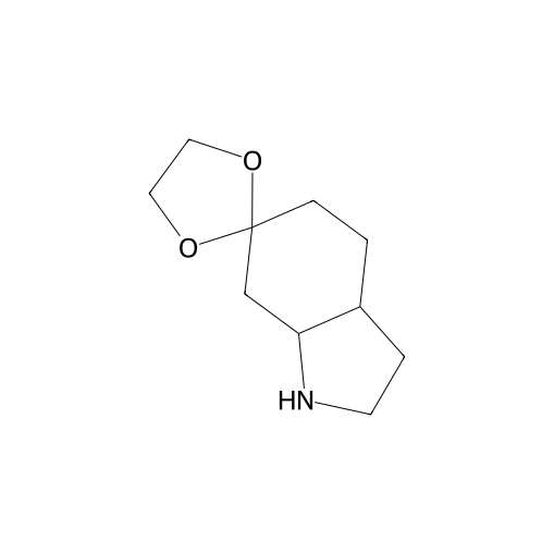 C1CC2CCC3(CC2N1)OCCO3